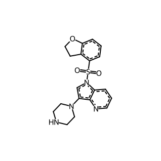 O=S(=O)(c1cccc2c1CCO2)n1cc(N2CCNCC2)c2ncccc21